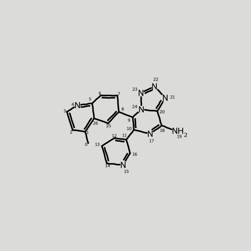 Cc1ccnc2ccc(-c3c(-c4cccnc4)nc(N)c4nnnn34)cc12